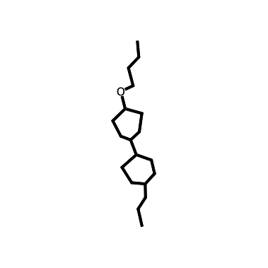 CCCCOC1CCC(C2CCC(CCC)CC2)CC1